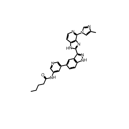 CCCCC(=O)Nc1cncc(-c2ccc3[nH]nc(-c4nc5c(-n6cnc(C)c6)nccc5[nH]4)c3c2)c1